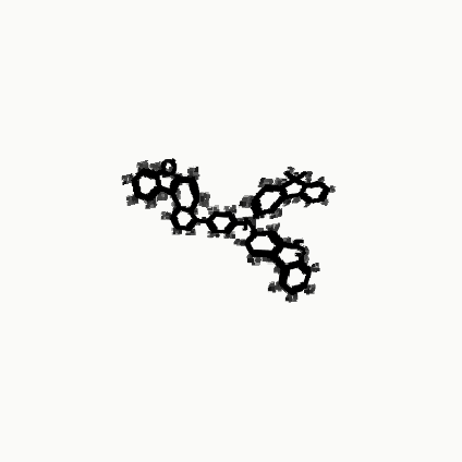 CC1(C)c2ccccc2-c2cc(N(c3ccc(C4=CC=CC5c6c(oc7ccccc67)C=CC45)cc3)C3C=c4sc5ccccc5c4=CC3)ccc21